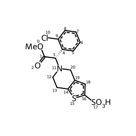 COC(=O)[C@H](c1ccccc1Cl)N1CCc2sc(S(=O)(=O)O)cc2C1